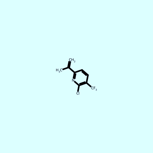 C=C(C)c1ccc(C(F)(F)F)c(Cl)n1